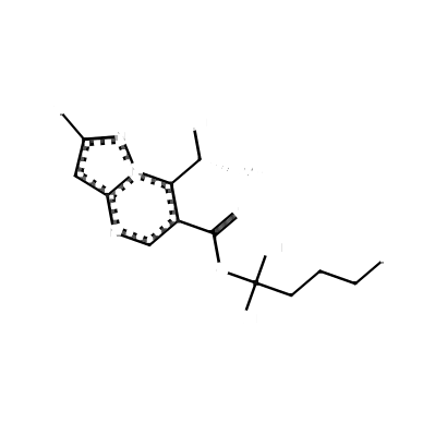 CO[C@@H](C)c1c(C(=O)OC(C)(C)CCCI)cnc2cc(Cl)nn12